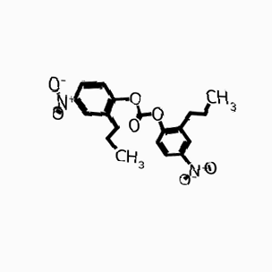 CCCc1cc([N+](=O)[O-])ccc1OC(=O)Oc1ccc([N+](=O)[O-])cc1CCC